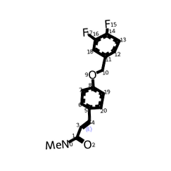 CNC(=O)/C=C/c1ccc(OCc2ccc(F)c(F)c2)cc1